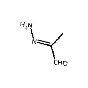 CC(C=O)=NN